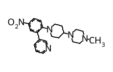 CN1CCN(C2CCN(c3ccc([N+](=O)[O-])cc3-c3cccnc3)CC2)CC1